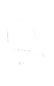 CC1(C)CCCOCO1